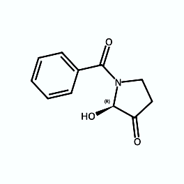 O=C1CCN(C(=O)c2ccccc2)[C@@H]1O